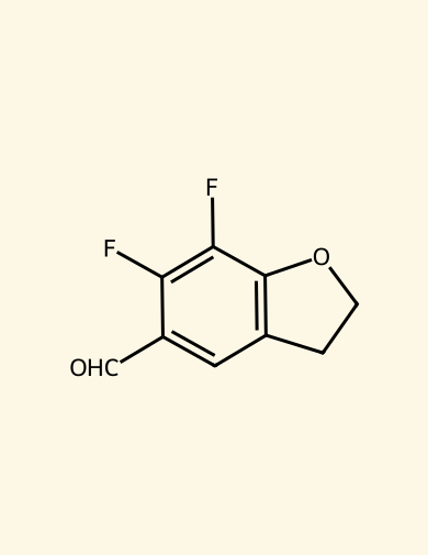 O=Cc1cc2c(c(F)c1F)OCC2